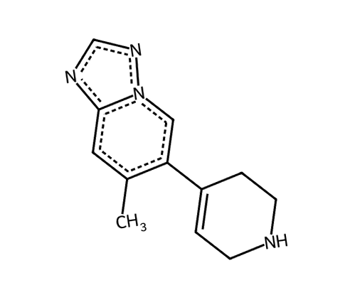 Cc1cc2ncnn2cc1C1=CCNCC1